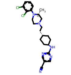 C[C@@H]1CN(CC[C@H]2CC[C@H](Nc3ncc(C#N)cn3)CC2)CCN1c1cccc(Cl)c1Cl